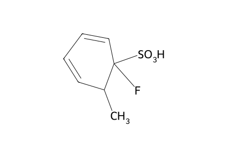 CC1C=CC=CC1(F)S(=O)(=O)O